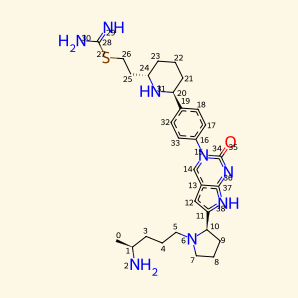 C[C@H](N)CCCN1CCC[C@@H]1c1cc2cn(-c3ccc([C@@H]4CCC[C@@H](CCSC(=N)N)N4)cc3)c(=O)nc2[nH]1